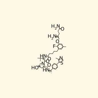 Cc1cc(CCCCC(=O)N[C@H](C(=O)N2C[C@H](O)C[C@H]2C(=O)N[C@@H](C)c2ccc(-c3scnc3C)cc2)C(C)(C)C)c(F)c(OC[C@@H](N)CCC(N)=O)c1